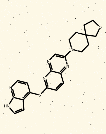 c1cc(Sc2ccc3nc(N4CCC5(CCOC5)CC4)cnc3n2)c2cc[nH]c2n1